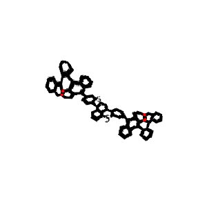 c1ccc(-c2c3ccccc3c(-c3ccc4c(c3)Sc3cccc5c3c-4cc3sc4cc(-c6c7ccccc7c(-c7ccccc7-c7cccc8ccccc78)c7ccccc67)ccc4c35)c3ccccc23)c(-c2cccc3ccccc23)c1